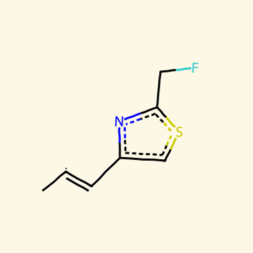 C/[C]=C/c1csc(CF)n1